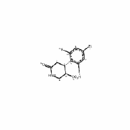 CCc1cc(F)c([C@H]2CC(=O)NC[C@@H]2C(=O)O)c(F)c1